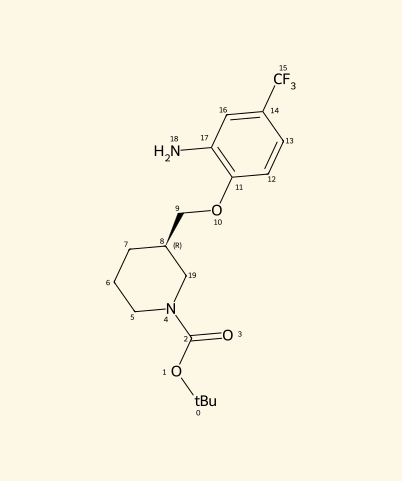 CC(C)(C)OC(=O)N1CCC[C@@H](COc2ccc(C(F)(F)F)cc2N)C1